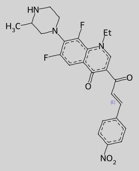 CCn1cc(C(=O)/C=C/c2ccc([N+](=O)[O-])cc2)c(=O)c2cc(F)c(N3CCNC(C)C3)c(F)c21